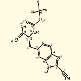 Cn1c(C#N)nc2ccc(C[C@H](NC(=O)OC(C)(C)C)C(=O)O)cc21